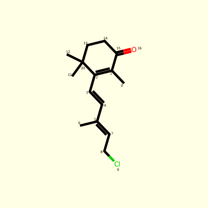 CC1=C(/C=C/C(C)=C/CCl)C(C)(C)CCC1=O